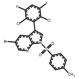 Cc1ccc(S(=O)(=O)n2cc(-c3c(Cl)c(F)cc(F)c3Cl)c3cc(Br)cnc32)cc1